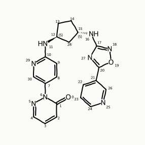 O=c1cccnn1-c1ccc(N[C@H]2CC[C@H](Nc3noc(-c4cccnc4)n3)C2)nc1